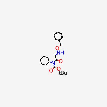 CC(C)(C)OC(=O)N(C(=O)CNOCc1ccccc1)C1CCCCC1